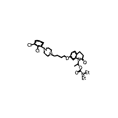 CCN(CC)C(=O)OC(C)N1C(=O)CCc2ccc(OCCCCN3CCN(c4cccc(Cl)c4Cl)CC3)cc21